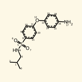 CC(C)CNS(=O)(=O)c1ccc(Oc2ccc(N)cc2)cc1